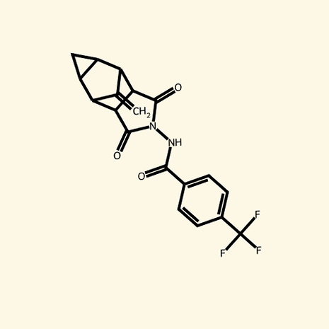 C=C1C2C3CC3C1C1C(=O)N(NC(=O)c3ccc(C(F)(F)F)cc3)C(=O)C21